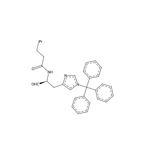 CC(C)CCC(=O)N[C@H](C=O)Cc1cn(C(c2ccccc2)(c2ccccc2)c2ccccc2)cn1